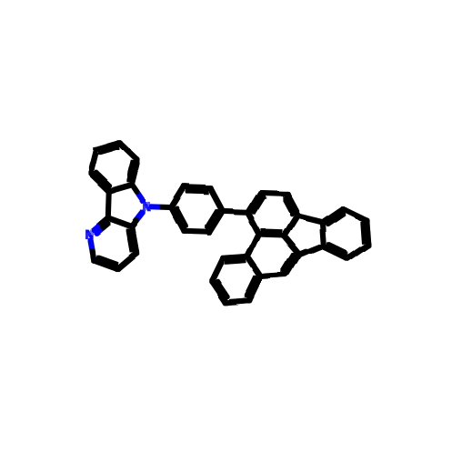 c1ccc2c(c1)-c1ccc(-c3ccc(-n4c5ccccc5c5ncccc54)cc3)c3c1c-2cc1ccccc13